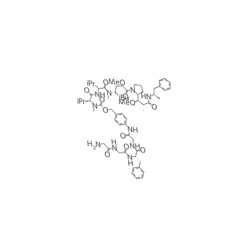 CC[C@H](C)[C@@H]([C@@H](CC(=O)N1CCC[C@H]1[C@H](OC)[C@@H](C)C(=O)N[C@H](C)Cc1ccccc1)OC)N(C)C(=O)C(NC(=O)[C@H](C(C)C)N(C)C(=O)OCc1ccc(NC(=O)CNC(=O)[C@H](Cc2ccccc2)NC(=O)CNC(=O)CN)cc1)C(C)C